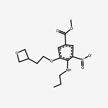 CCCNc1c(OCCC2COC2)cc(C(=O)OC)cc1[N+](=O)[O-]